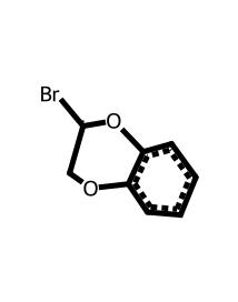 Br[C]1COc2ccccc2O1